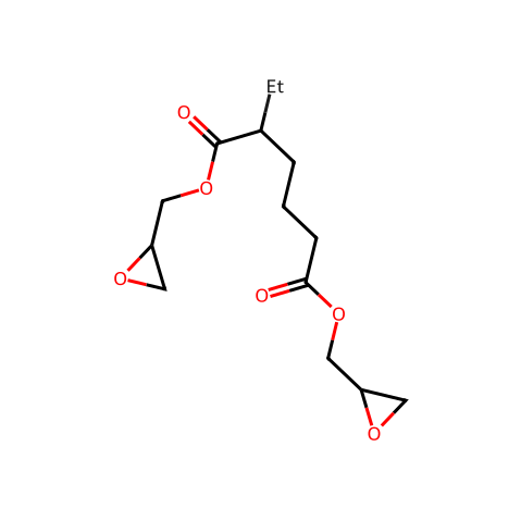 CCC(CCCC(=O)OCC1CO1)C(=O)OCC1CO1